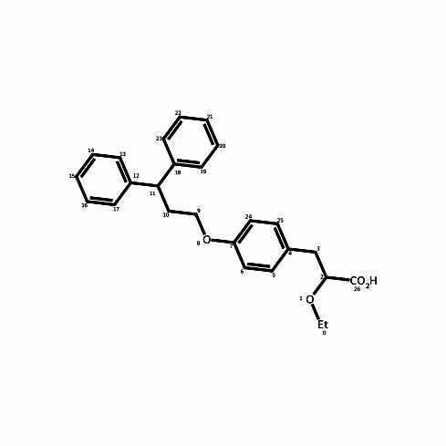 CCOC(Cc1ccc(OCCC(c2ccccc2)c2ccccc2)cc1)C(=O)O